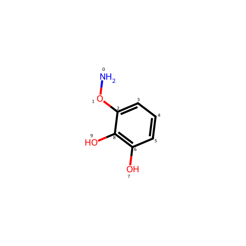 NOc1cccc(O)c1O